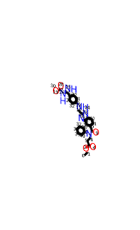 CCOC(=O)CCN(C(=O)c1ccc2c(c1)nc(CNc1ccc(C(=N)NC(=O)OC)cc1)n2C)c1ccccc1